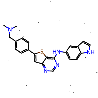 CN(C)Cc1ccc(-c2cc3ncnc(Nc4ccc5[nH]ccc5c4)c3s2)cc1